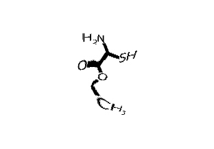 CCOC(=O)C(N)S